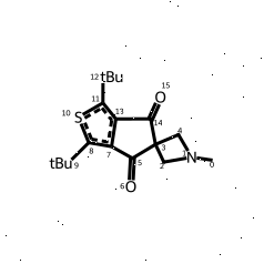 CN1CC2(C1)C(=O)c1c(C(C)(C)C)sc(C(C)(C)C)c1C2=O